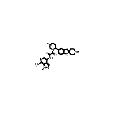 C[C@H]1CCC(c2ccc3c(c2)CC2(CCN(C)CC2)O3)N(C(=O)C(=O)Nc2cnc(N)c3c2cnn3C)C1